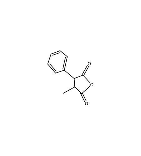 CC1C(=O)OC(=O)C1c1ccccc1